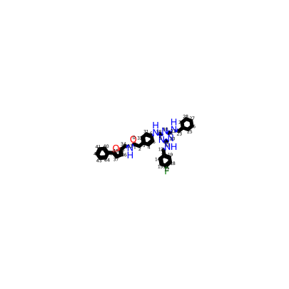 O=C(Cc1ccc(Nc2nc(NCc3ccc(F)cc3)nc(NCC3CCCCC3)n2)cc1)NCc1ccc(-c2ccccc2)o1